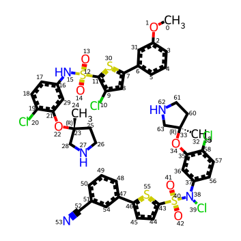 COc1cccc(-c2cc(Cl)c(S(=O)(=O)Nc3ccc(Cl)c(O[C@]4(C)CCNC4)c3)s2)c1.C[C@@]1(Oc2cc(N(Cl)S(=O)(=O)c3ccc(-c4cccc(C#N)c4)s3)ccc2Cl)CCNC1